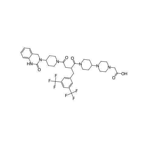 O=C(O)CN1CCN(C2CCN(C(=O)C(CC(=O)N3CCC(N4Cc5ccccc5NC4=O)CC3)Cc3cc(C(F)(F)F)cc(C(F)(F)F)c3)CC2)CC1